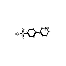 CS(=O)(=O)c1ccc(C2=CCCNC2)cc1